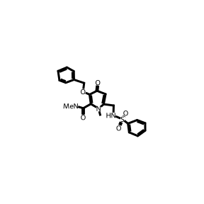 CNC(=O)c1c(OCc2ccccc2)c(=O)cc(CNS(=O)(=O)c2ccccc2)n1C